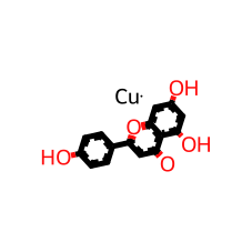 O=c1cc(-c2ccc(O)cc2)oc2cc(O)cc(O)c12.[Cu]